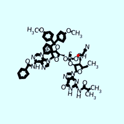 CCC1O[C@@H](n2cnc3c(=O)[nH]c(NC(=O)C(C)C)nc32)[C@@H](OP(=S)(OCCC#N)OC[C@H]2OC(n3cnc4c(NC(=O)c5ccccc5)ncnc43)[C@@H](F)[C@H]2OC(c2ccccc2)(c2ccc(OC)cc2)c2ccc(OC)cc2)[C@H]1CO